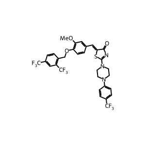 COc1cc(/C=C2\SC(N3CCN(c4ccc(C(F)(F)F)cc4)CC3)=NC2=O)ccc1OCc1ccc(C(F)(F)F)cc1C(F)(F)F